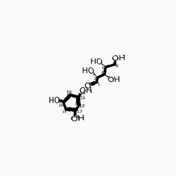 O=C[C@H](O)[C@@H](O)[C@H](O)CO.Oc1cc(O)cc(O)c1